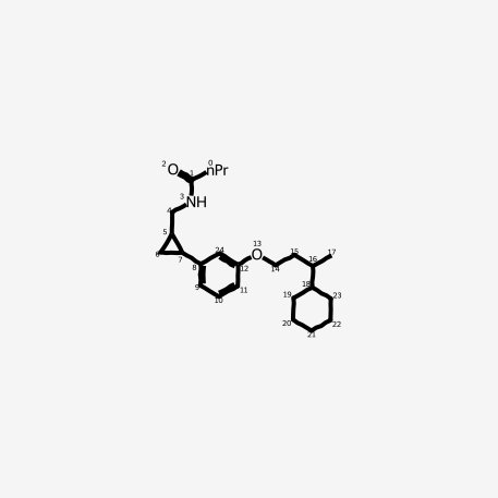 CCCC(=O)NCC1CC1c1cccc(OCCC(C)C2CCCCC2)c1